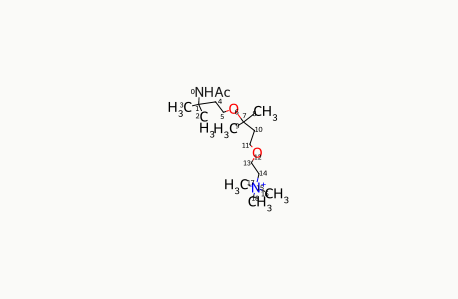 CC(=O)NC(C)(C)CCOC(C)(C)CCOCC[N+](C)(C)C